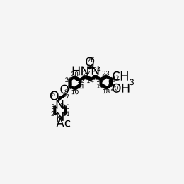 CC(=O)N1CCN(C(=O)COc2ccc(-c3cc(-c4ccc(O)c(C)c4)nc(=O)[nH]3)cc2)CC1